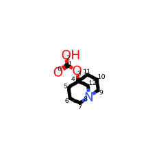 O=C(O)OC12CCCN(CCC1)C2